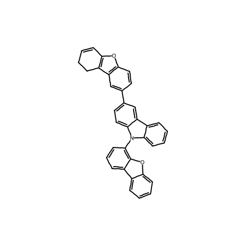 C1=Cc2oc3ccc(-c4ccc5c(c4)c4ccccc4n5-c4cccc5c4oc4ccccc45)cc3c2CC1